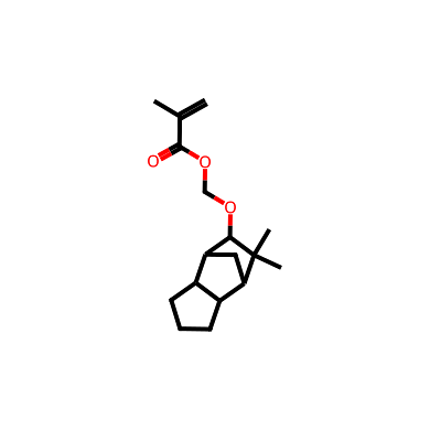 C=C(C)C(=O)OCOC1C2CC(C3CCCC32)C1(C)C